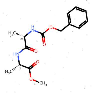 COC(=O)[C@H](C)NC(=O)[C@H](C)NC(=O)OCc1ccccc1